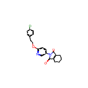 O=C1C2=C(CCCC2)C(=O)N1c1ccc(OCCc2ccc(Cl)cc2)nc1